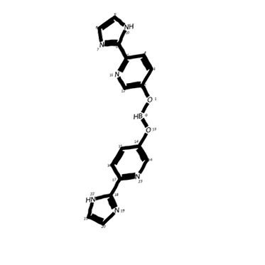 B(Oc1ccc(-c2ncc[nH]2)nc1)Oc1ccc(-c2ncc[nH]2)nc1